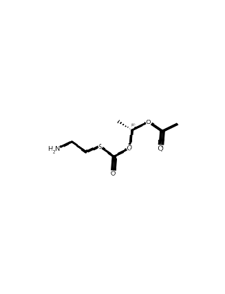 CC(=O)O[C@@H](C)OC(=O)SCCN